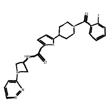 O=C(NC1CN(c2cccnn2)C1)c1ccc(C2CCN(C(=O)c3ccccc3F)CC2)s1